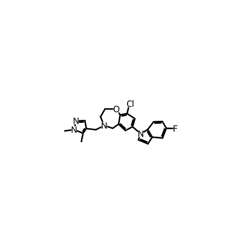 Cc1c(CN2CCOc3c(Cl)cc(-n4ccc5cc(F)ccc54)cc3C2)cnn1C